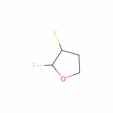 F[C]1OCCC1F